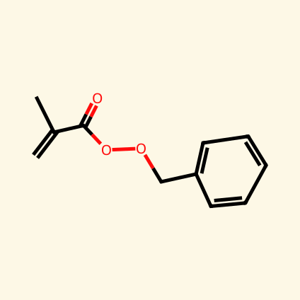 C=C(C)C(=O)OOCc1ccccc1